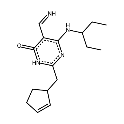 CCC(CC)Nc1nc(CC2C=CCC2)[nH]c(=O)c1C=N